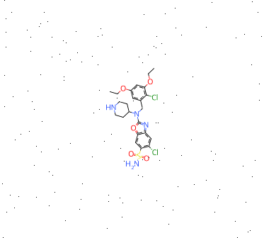 CCOc1cc(CN(c2nc3cc(Cl)c(S(N)(=O)=O)cc3o2)C2CCNCC2)c(Cl)c(OCC)c1